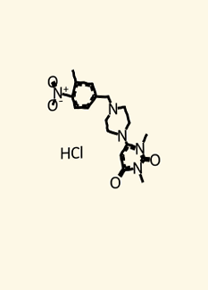 Cc1cc(CN2CCN(c3cc(=O)n(C)c(=O)n3C)CC2)ccc1[N+](=O)[O-].Cl